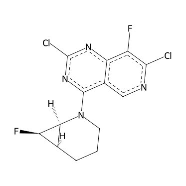 Fc1c(Cl)ncc2c(N3CCC[C@H]4[C@@H](F)[C@H]43)nc(Cl)nc12